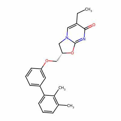 CCc1cn2c(nc1=O)O[C@H](COc1cccc(-c3cccc(C)c3C)c1)C2